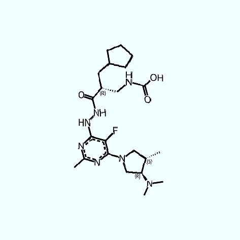 Cc1nc(NNC(=O)[C@@H](CNC(=O)O)CC2CCCC2)c(F)c(N2C[C@H](C)[C@@H](N(C)C)C2)n1